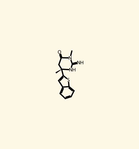 CN1C(=N)N[C@](C)(c2cc3ccccc3s2)CC1=O